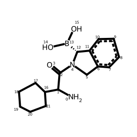 NC(C(=O)N1Cc2ccccc2[C@H]1B(O)O)C1CCCCC1